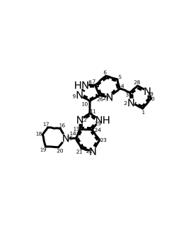 c1cnc(-c2ccc3[nH]nc(-c4nc5c(N6CCCCC6)cncc5[nH]4)c3n2)cn1